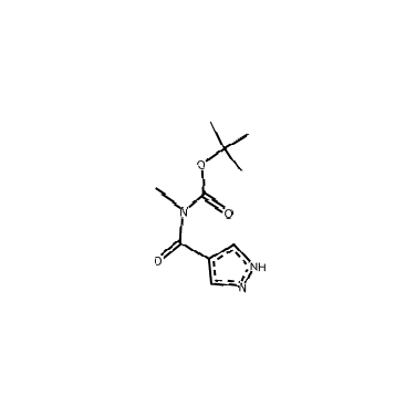 CN(C(=O)OC(C)(C)C)C(=O)c1cn[nH]c1